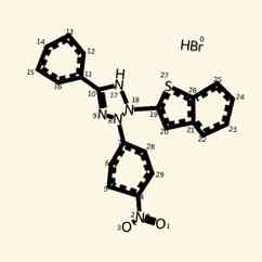 Br.O=[N+]([O-])c1ccc(N2N=C(c3ccccc3)NN2c2cc3ccccc3s2)cc1